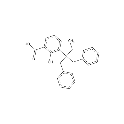 CCC(Cc1ccccc1)(Cc1ccccc1)c1cccc(C(=O)O)c1O